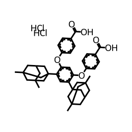 CC12CC3CC(C)(C1)CC(c1cc(C45CC6CC(C)(CC(C)(C6)C4)C5)c(Oc4ccc(C(=O)O)cc4)cc1Oc1ccc(C(=O)O)cc1)(C3)C2.Cl.Cl